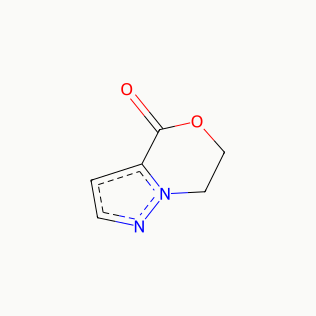 O=C1OCCn2nccc21